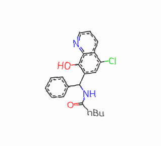 CCCCC(=O)NC(c1ccccc1)c1cc(Cl)c2cccnc2c1O